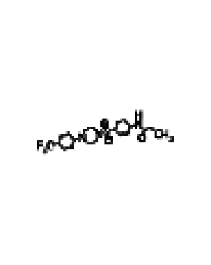 C=CC(=O)Nc1ccc(S(=O)(=O)N2CCN(c3ccc(C(F)(F)F)cc3)CC2)cc1